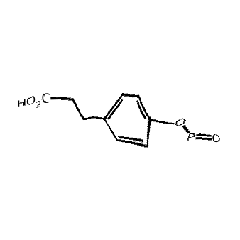 O=POc1ccc(CCC(=O)O)cc1